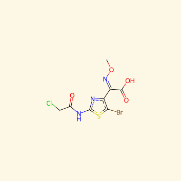 CON=C(C(=O)O)c1nc(NC(=O)CCl)sc1Br